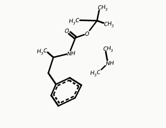 CC(Cc1ccccc1)NC(=O)OC(C)(C)C.CNC